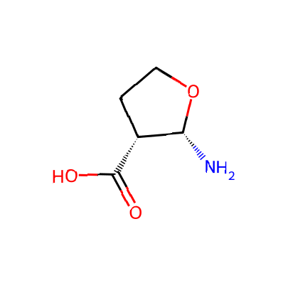 N[C@H]1OCC[C@H]1C(=O)O